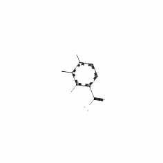 CCc1c(F)ccc(C(N)=O)c1CC